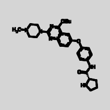 CC(C)COc1nc(N2CCN(C)CC2)nc2ccc(Oc3ccc(NC(=O)[C@@H]4CCCN4)cc3)cc12